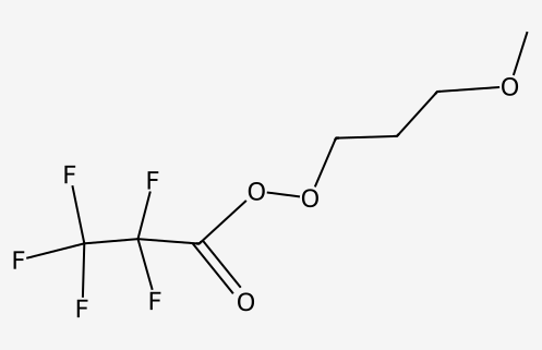 COCCCOOC(=O)C(F)(F)C(F)(F)F